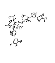 COc1ncc(-c2cn([C@H]3COC[C@@H](S[C@@H]4O[C@H](COC(C)=O)[C@H](OC(C)=O)[C@H](n5cc(-c6cc(F)c(F)c(F)c6)nn5)[C@H]4OC)[C@@H]3O)nn2)cn1